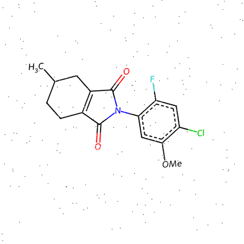 COc1cc(N2C(=O)C3=C(CC(C)CC3)C2=O)c(F)cc1Cl